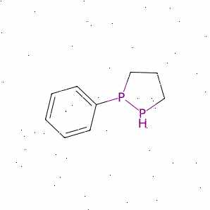 c1ccc(P2CCCP2)cc1